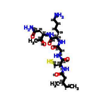 CC[C@H](C)CC(=O)N[C@@H](CS)C(=O)NCC(=O)N[C@@H](CCCCN)C(=O)N[C@@H](CC(N)=O)C(C)=O